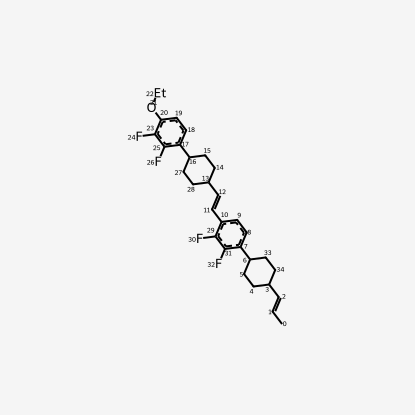 C/C=C/C1CCC(c2ccc(/C=C/C3CCC(c4ccc(OCC)c(F)c4F)CC3)c(F)c2F)CC1